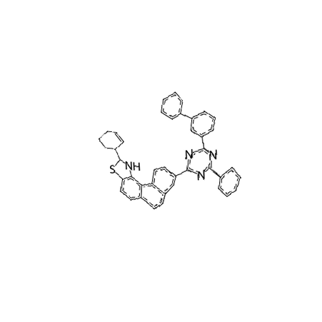 C1=CC(C2Nc3c(ccc4ccc5cc(-c6nc(-c7ccccc7)nc(-c7cccc(-c8ccccc8)c7)n6)ccc5c34)S2)CCC1